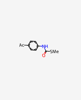 CSC(=O)Nc1ccc(C(C)=O)cc1